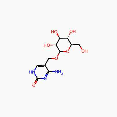 Nc1nc(=O)[nH]cc1COC1O[C@H](CO)[C@@H](O)[C@H](O)[C@H]1O